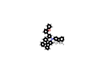 CC1(C)c2ccccc2-c2ccc(N(c3ccc(-c4cccc5c4oc4ccccc45)cc3)c3ccc4c(c3)C(c3ccccc3)(c3ccccc3)c3ccccc3-4)cc21